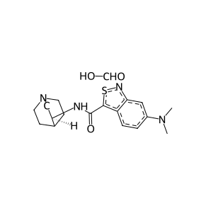 CN(C)c1ccc2c(C(=O)N[C@@H]3CN4CCC3CC4)snc2c1.O=CO